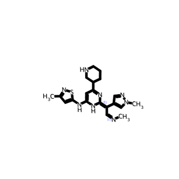 C/N=C\C(=C1\N=C(C2CCCNC2)C=C(Nc2cc(C)ns2)N1)c1cnn(C)c1